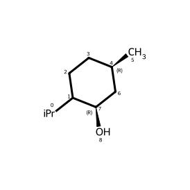 CC(C)C1CC[C@@H](C)C[C@H]1O